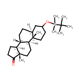 CC(C)(C)[Si](C)(C)OC1CC[C@@]2(C)[C@@H](CC[C@@H]3[C@@H]2CC[C@]2(C)C(=O)CC[C@@H]32)C1